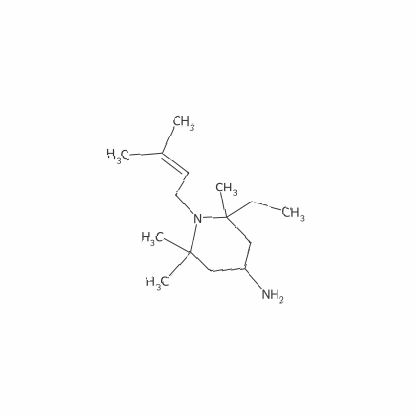 CCC1(C)CC(N)CC(C)(C)N1CC=C(C)C